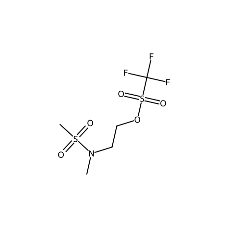 CN(CCOS(=O)(=O)C(F)(F)F)S(C)(=O)=O